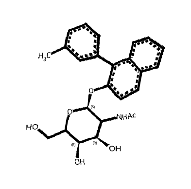 CC(=O)NC1[C@H](Oc2ccc3ccccc3c2-c2cccc(C)c2)OC(CO)[C@H](O)[C@@H]1O